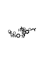 CC(C)CCOc1ccc(-c2cnc([C@H]3CC[C@H](NC(=O)OC4COC4)CC3)s2)c(S(=O)(=O)NC(C)(C)C)c1